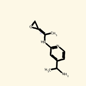 C/C(Nc1cc(C(C)N)ccn1)=C1\CO1